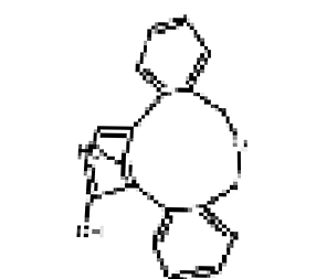 Oc1ccc2c(O)c1-c1ccccc1COCc1ccccc1-2